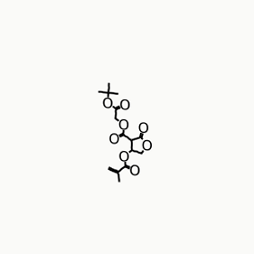 C=C(C)C(=O)OC1COC(=O)C1C(=O)OCC(=O)OC(C)(C)C